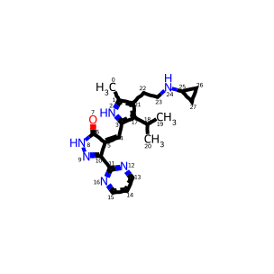 Cc1[nH]c(C=C2C(=O)NN=C2c2ncccn2)c(C(C)C)c1CCNC1CC1